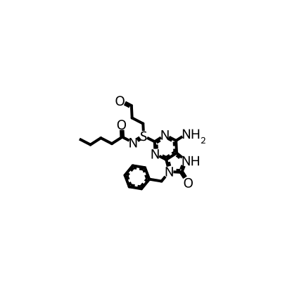 CCCCC(=O)N=S(CCC=O)c1nc(N)c2[nH]c(=O)n(Cc3ccccc3)c2n1